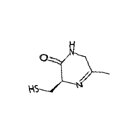 CC1=N[C@@H](CS)C(=O)NC1